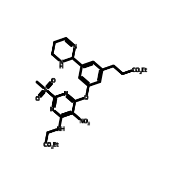 CCOC(=O)CCc1cc(Oc2nc(S(C)(=O)=O)nc(NCC(=O)OCC)c2[N+](=O)[O-])cc(C2N=CCCN2)c1